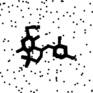 Cc1cc(OC(=O)O)c(C)c2c1S(=O)(=O)CCC2Oc1ncc(C(F)(F)F)cc1Cl